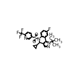 CC(C)(C)n1ncc2c1-c1cc(F)ccc1N(S(=O)(=O)c1ccc(C(F)(F)F)nc1)C2C1CC1